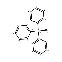 [Br][Ti]([c]1ccccc1)([c]1ccccc1)[c]1ccccc1